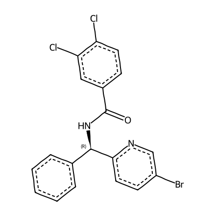 O=C(N[C@H](c1ccccc1)c1ccc(Br)cn1)c1ccc(Cl)c(Cl)c1